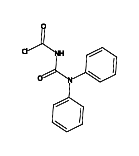 O=C(Cl)NC(=O)N(c1ccccc1)c1ccccc1